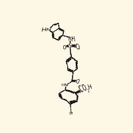 O=C(Nc1ccc(Br)cc1C(=O)O)c1ccc(S(=O)(=O)Nc2ccc3[nH]ccc3c2)cc1